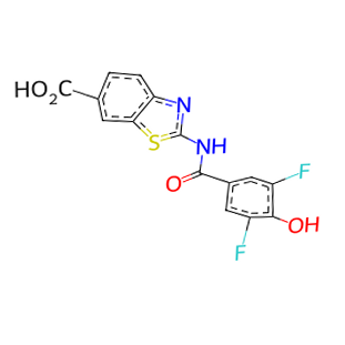 O=C(O)c1ccc2nc(NC(=O)c3cc(F)c(O)c(F)c3)sc2c1